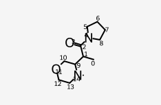 CC(C(=O)N1CCCC1)C1COCC[N]1